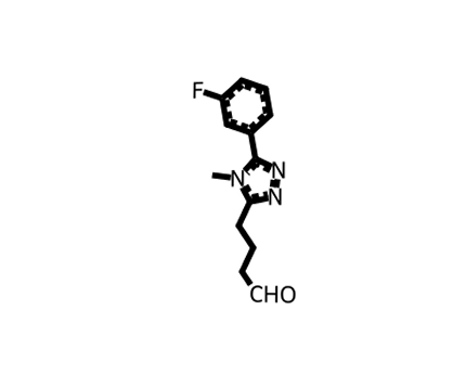 Cn1c(CCCC=O)nnc1-c1cccc(F)c1